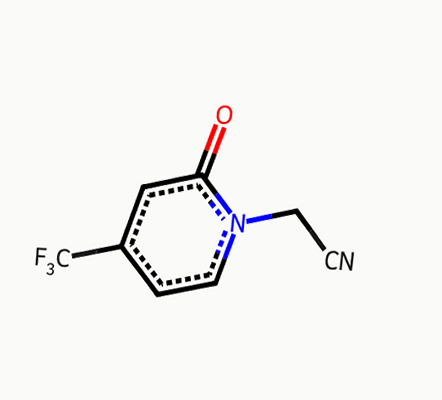 N#CCn1ccc(C(F)(F)F)cc1=O